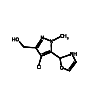 Cn1nc(CO)c(Cl)c1C1NC=CO1